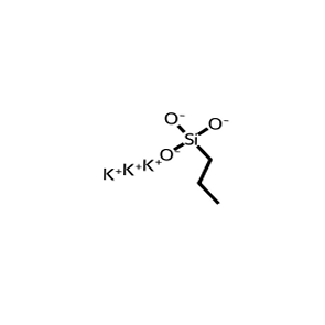 CCC[Si]([O-])([O-])[O-].[K+].[K+].[K+]